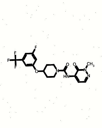 Cn1nccc(NC(=O)N2CCC(Oc3cc(F)cc(C(F)(F)F)c3)CC2)c1=O